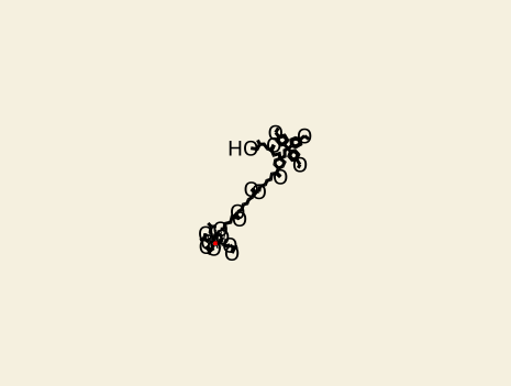 COc1ccc(C(CCC2(CCC(=O)CCC(C)CO)CCC(C(=O)CCCCCOC(=O)CCCCCOC(=O)CCCCO[C@@H]3O[C@H](COC(C)=O)[C@H](OC(C)=O)[C@H](OC(C)=O)[C@H]3CC(C)C)CC2)(c2ccc(OC)cc2)c2ccc(OC)cc2)cc1